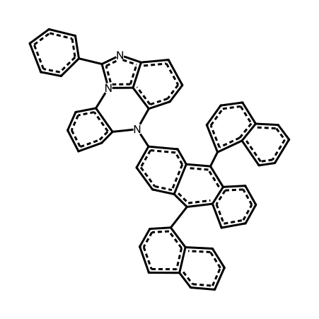 c1ccc(-c2nc3cccc4c3n2-c2ccccc2N4c2ccc3c(-c4cccc5ccccc45)c4ccccc4c(-c4cccc5ccccc45)c3c2)cc1